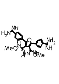 CONC(=N)c1c(-c2ccc(C(=N)N)cc2)oc(-c2ccc(C(=N)N)cc2)c1C(=N)NOC